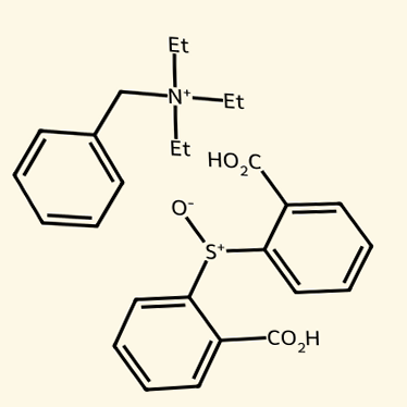 CC[N+](CC)(CC)Cc1ccccc1.O=C(O)c1ccccc1[S+]([O-])c1ccccc1C(=O)O